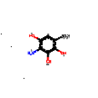 Nc1c(O)cc(S(=O)(=O)O)c(O)c1O